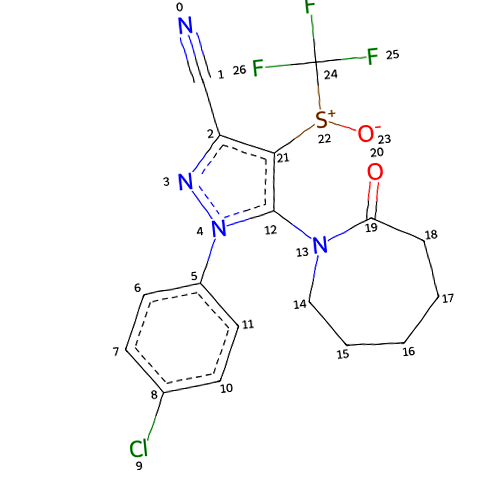 N#Cc1nn(-c2ccc(Cl)cc2)c(N2CCCCCC2=O)c1[S+]([O-])C(F)(F)F